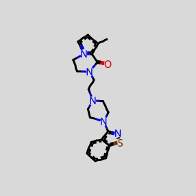 Cc1ccn2c1C(=O)N(CCN1CCN(c3nsc4ccccc34)CC1)CC2